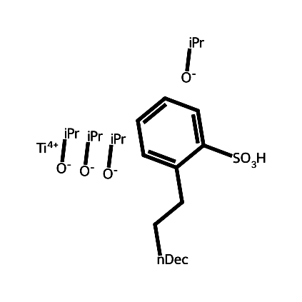 CC(C)[O-].CC(C)[O-].CC(C)[O-].CC(C)[O-].CCCCCCCCCCCCc1ccccc1S(=O)(=O)O.[Ti+4]